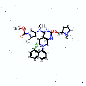 C[C@H]1C[C@H](N(C)c2nc(OCC3CCCN3C)nc3c2CCN(c2cccc4cccc(Cl)c24)C3)CN1C(=O)OC(C)(C)C